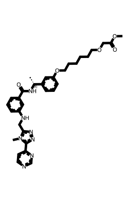 COC(=O)COCCCCCCOc1cccc([C@@H](C)NC(=O)c2cccc(NCc3nnc(-c4ccncn4)n3C)c2)c1